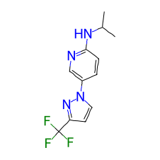 CC(C)Nc1ccc(-n2ccc(C(F)(F)F)n2)cn1